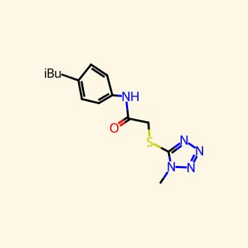 CCC(C)c1ccc(NC(=O)CSc2nnnn2C)cc1